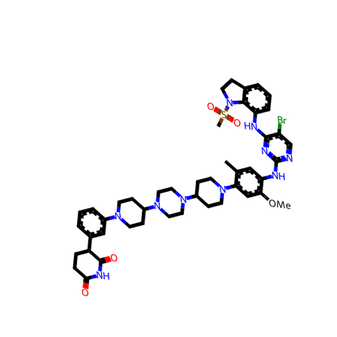 COc1cc(N2CCC(N3CCN(C4CCN(c5cccc(C6CCC(=O)NC6=O)c5)CC4)CC3)CC2)c(C)cc1Nc1ncc(Br)c(Nc2cccc3c2N(S(C)(=O)=O)CC3)n1